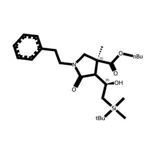 CCCCOC(=O)[C@]1(C)CN(CCc2ccccc2)C(=O)C1[C@@H](O)C[Si](C)(C)C(C)(C)C